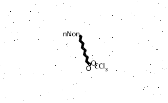 CCCCCCCCCCCCCCCCCC(=O)OC(Cl)(Cl)Cl